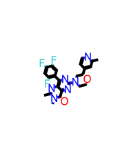 Cc1cc(C2CN(c3nc(-c4cc(F)c(F)cc4F)c4nc(C)n(C)c(=O)c4n3)CCO2)ccn1